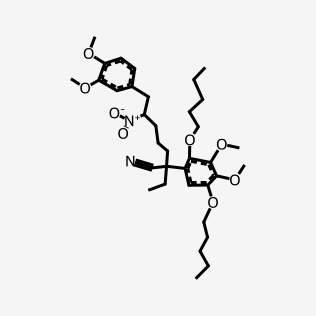 CCCCCOc1cc(C(C#N)(CC)CCCC(Cc2ccc(OC)c(OC)c2)[N+](=O)[O-])c(OCCCCC)c(OC)c1OC